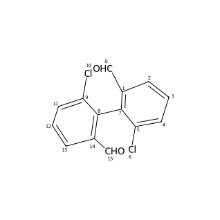 O=Cc1cccc(Cl)c1-c1c(Cl)cccc1C=O